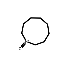 O=[N+]1CCCCCCCC1